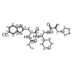 C=C(CN1CCCC1)C(=O)NCC(NC(=O)[C@H](Cc1nc2ccc(Cl)cc2s1)NC(=O)CC)C1CCOCC1